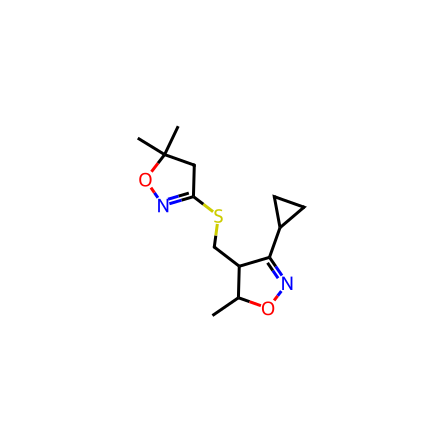 CC1ON=C(C2CC2)C1CSC1=NOC(C)(C)C1